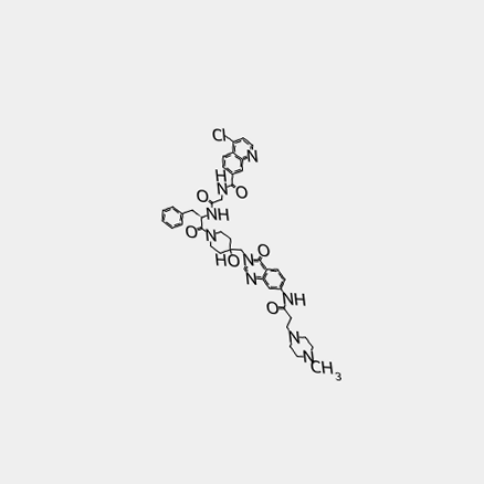 CN1CCN(CCC(=O)Nc2ccc3c(=O)n(CC4(O)CCN(C(=O)[C@@H](Cc5ccccc5)NC(=O)CNC(=O)c5ccc6c(Cl)ccnc6c5)CC4)cnc3c2)CC1